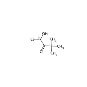 CC[C@H](O)C(=O)C(C)(C)C